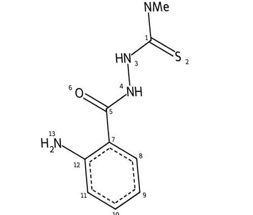 CNC(=S)NNC(=O)c1ccccc1N